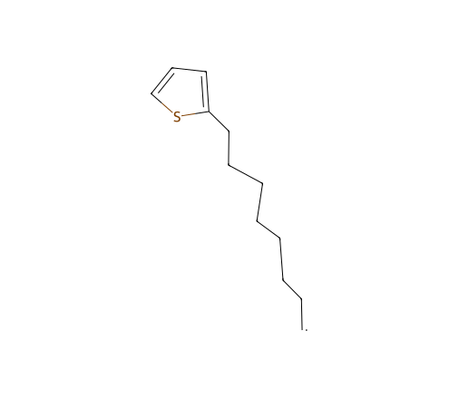 [CH2]CCCCCCCc1cccs1